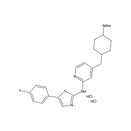 CNC1CCC(Cc2ccnc(Nc3ncc(-c4ccc(F)cc4)s3)c2)CC1.Cl.Cl